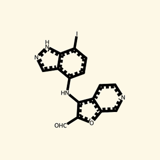 O=Cc1oc2cnccc2c1Nc1ccc(I)c2[nH]ncc12